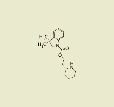 CC1(C)CN(C(=O)OCCC2CCCCN2)c2ccccc21